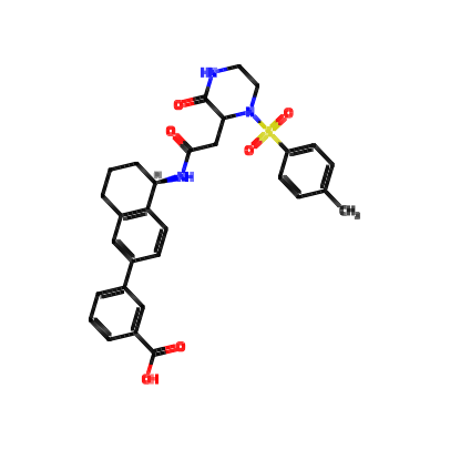 Cc1ccc(S(=O)(=O)N2CCNC(=O)C2CC(=O)N[C@@H]2CCCc3cc(-c4cccc(C(=O)O)c4)ccc32)cc1